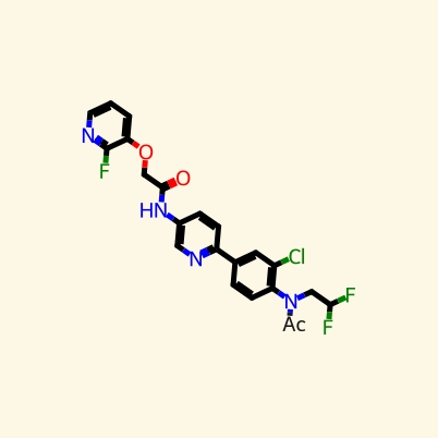 CC(=O)N(CC(F)F)c1ccc(-c2ccc(NC(=O)COc3cccnc3F)cn2)cc1Cl